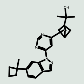 CC1(c2ccc3cnn(-c4cc(N5CC6(C(C)(C)O)CC5C6)ncn4)c3c2)CCC1